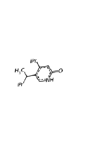 CC(C)c1cc(=O)[nH]cc1C(C)C(C)C